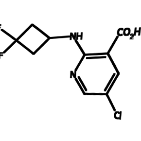 O=C(O)c1cc(Cl)cnc1NC1CC(F)(F)C1